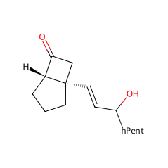 CCCCCC(O)C=C[C@]12CCC[C@@H]1C(=O)C2